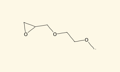 [CH2]OCCOCC1CO1